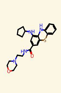 O=C(NCCN1CCOCC1)c1cc(NC2CCCC2)c2c(c1)Sc1ccccc1N2